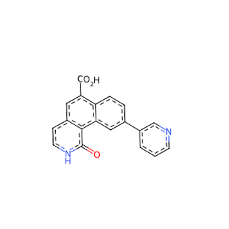 O=C(O)c1cc2cc[nH]c(=O)c2c2cc(-c3cccnc3)ccc12